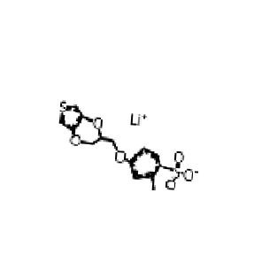 Cc1cc(OCC2COc3cscc3O2)ccc1S(=O)(=O)[O-].[Li+]